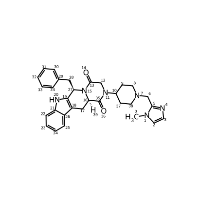 Cn1ccnc1CN1CCC(N2CC(=O)N3[C@H](Cc4c([nH]c5ccccc45)[C@H]3Cc3ccccc3)C2=O)CC1